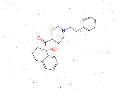 O=C(C1CCN(CCc2ccccc2)CC1)C1(O)CCCc2ccccc21